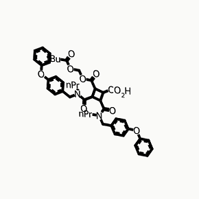 CCCN(Cc1ccc(Oc2ccccc2)cc1)C(=O)C1C(C(=O)O)C(C(=O)OCOC(=O)C(C)(C)C)C1C(=O)N(CCC)Cc1ccc(Oc2ccccc2)cc1